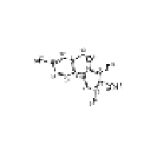 Oc1c(F)cc2c(c1F)OCc1cc(F)ccc1-2